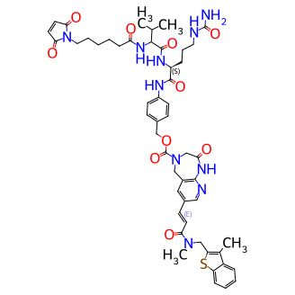 Cc1c(CN(C)C(=O)/C=C/c2cnc3c(c2)CN(C(=O)OCc2ccc(NC(=O)[C@H](CCCNC(N)=O)NC(=O)C(NC(=O)CCCCCN4C(=O)C=CC4=O)C(C)C)cc2)CC(=O)N3)sc2ccccc12